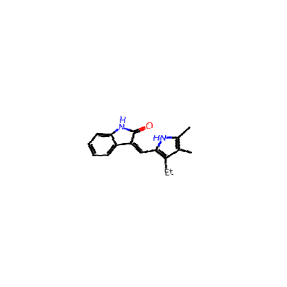 CCc1c(/C=C2\C(=O)Nc3ccccc32)[nH]c(C)c1C